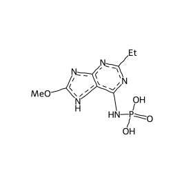 CCc1nc(NP(=O)(O)O)c2[nH]c(OC)nc2n1